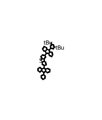 CC(C)(C)c1cc(-c2c3ccccc3c(-c3ccc4sc5cc(-c6c7ccccc7c(-c7ccccc7)c7ccccc67)ccc5c4c3)c3ccccc23)cc(C(C)(C)C)c1